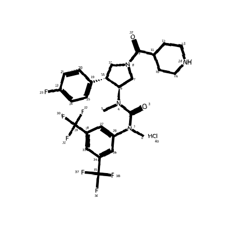 CN(C(=O)N(C)[C@@H]1CN(C(=O)C2CCNCC2)C[C@H]1c1ccc(F)cc1)c1cc(C(F)(F)F)cc(C(F)(F)F)c1.Cl